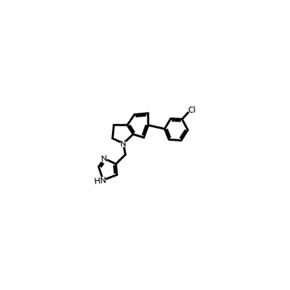 Clc1cccc(-c2ccc3c(c2)N(Cc2c[nH]cn2)CC3)c1